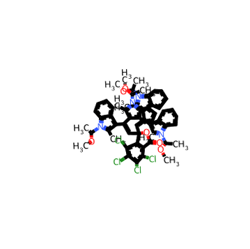 COC(C)n1c(C)c(C(=CC2(C=C(c3c(C)n(C(C)OC)c4ccccc34)c3c(C)n(C(C)OC)c4ccccc34)OC(=O)c3c(Cl)c(Cl)c(Cl)c(Cl)c32)c2c(C)n(C(C)OC)c3ccccc23)c2ccccc21